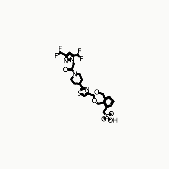 O=C(Cn1nc(C(F)F)cc1C(F)F)N1CCC(c2nc(C3OCc4cccc(CS(=O)(=O)O)c4CO3)cs2)CC1